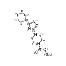 CC(C)(C)OC(=O)N1CCN(c2nc(-c3ccccc3)no2)CC1